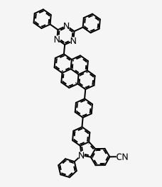 N#Cc1ccc2c(c1)c1cc(-c3ccc(-c4ccc5ccc6c(-c7nc(-c8ccccc8)nc(-c8ccccc8)n7)ccc7ccc4c5c76)cc3)ccc1n2-c1ccccc1